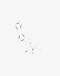 COC(=O)[C@H](CN(c1ccc(Oc2ccc(C(F)(F)F)cc2)cc1)S(C)(=O)=O)NC(=O)C1CCOCC1